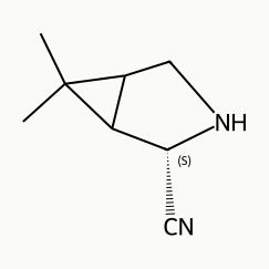 CC1(C)C2CN[C@H](C#N)C21